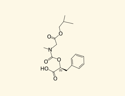 CC(C)COC(=O)CN(C)C(=O)O[C@@H](Cc1ccccc1)C(=O)O